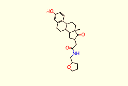 C[C@]12CCC3c4ccc(O)cc4CCC3C1CC(CC(=O)NCC1CCCO1)C2=O